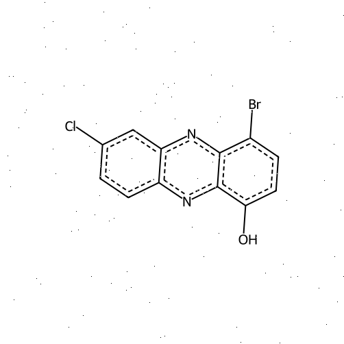 Oc1ccc(Br)c2nc3cc(Cl)ccc3nc12